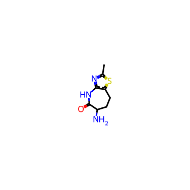 Cc1nc2c(s1)CCC(N)C(=O)N2